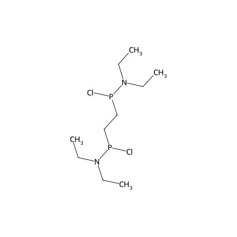 CCN(CC)P(Cl)CCP(Cl)N(CC)CC